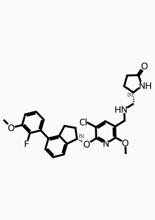 COc1cccc(-c2cccc3c2CC[C@@H]3Oc2nc(OC)c(CNC[C@@H]3CCC(=O)N3)cc2Cl)c1F